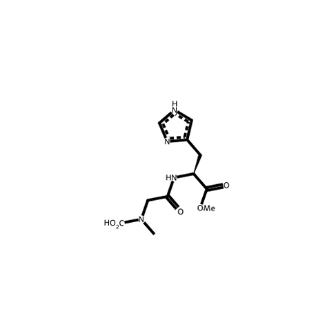 COC(=O)[C@H](Cc1c[nH]cn1)NC(=O)CN(C)C(=O)O